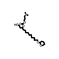 CN(C)CCCOC(=O)OC(CCO)CCCCCCCCCCOC1CCCCO1